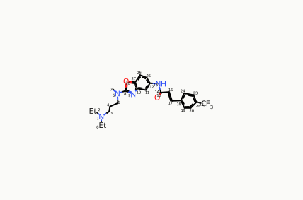 CCN(CC)CCCN(C)c1nc2cc(NC(=O)C=Cc3ccc(C(F)(F)F)cc3)ccc2o1